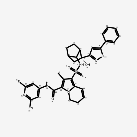 Cc1c(S(=O)(=O)NC2C3CCC2[C@@](O)(c2cc(-c4ccccc4)on2)C3)c2n(c1C(=O)Nc1cc(F)nc(C#N)c1)CCC=C2